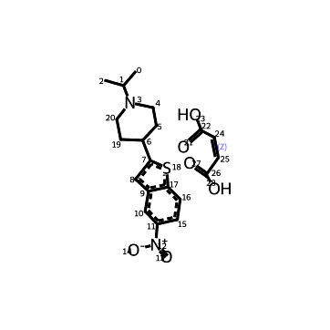 CC(C)N1CCC(c2cc3cc([N+](=O)[O-])ccc3s2)CC1.O=C(O)/C=C\C(=O)O